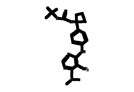 CN(C)c1ncnc(Nc2ccc(C3(NC(=O)OC(C)(C)C)CCC3)cc2)c1N